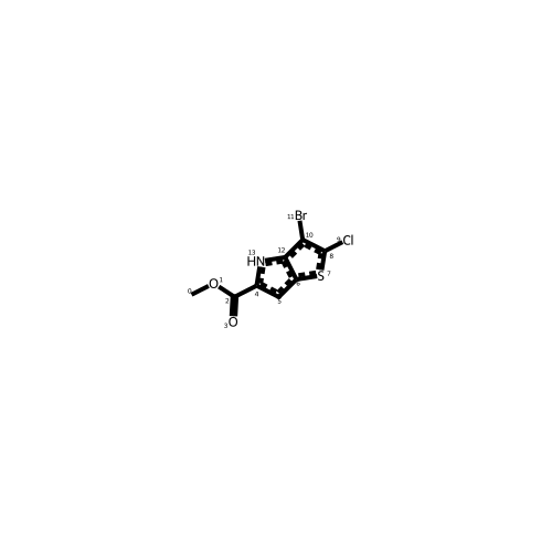 COC(=O)c1cc2sc(Cl)c(Br)c2[nH]1